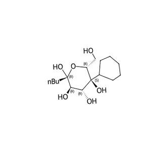 CCCC[C@@]1(O)O[C@H](CO)[C@](O)(C2CCCCC2)[C@H](O)[C@H]1O